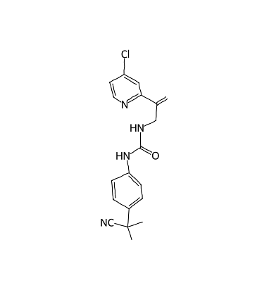 C=C(CNC(=O)Nc1ccc(C(C)(C)C#N)cc1)c1cc(Cl)ccn1